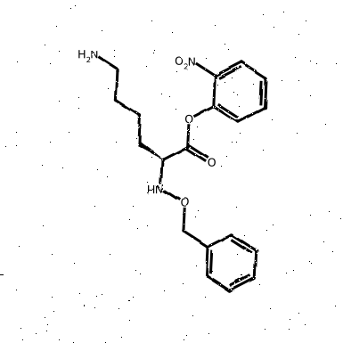 NCCCC[C@H](NOCc1ccccc1)C(=O)Oc1ccccc1[N+](=O)[O-]